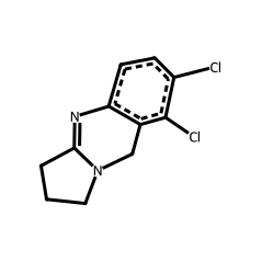 Clc1ccc2c(c1Cl)CN1CCCC1=N2